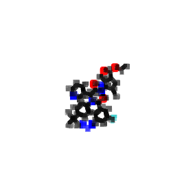 CCO[C@H]1OCC2C1CC(C)[C@@H]2NC(=O)C(c1cccnc1)N(C(=O)c1cc(N)cc(F)c1)c1ccc(C(C)(C)C)cc1